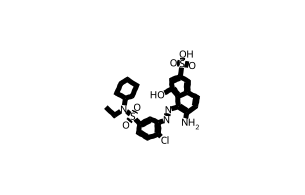 CCN(C1CCCCC1)S(=O)(=O)c1ccc(Cl)c(/N=N/c2c(N)ccc3cc(S(=O)(=O)O)cc(O)c23)c1